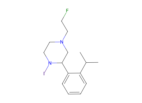 CC(C)c1ccccc1C1CN(CCF)CCN1I